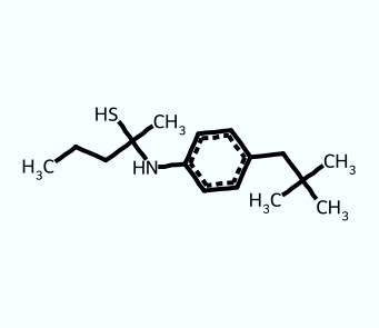 CCCC(C)(S)Nc1ccc(CC(C)(C)C)cc1